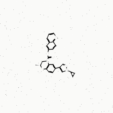 CC(=O)N1c2ccc(-c3cnn(C4CC4)c3)cc2N(C(=O)Oc2ccc3ncccc3c2)C[C@@H]1C